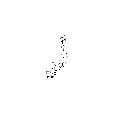 Cc1ccn(C2CN([C@H]3CC[C@H]([C@@H](C)c4sc5c(c4C)C(=O)N(Cc4c(C)cc(C)[nH]c4=O)CC5)CC3)C2)n1